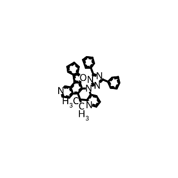 CC1(C)c2ncccc2N(c2nc(-c3ccccc3)nc(-c3ccccc3)n2)c2c1c1ccncc1c1c2oc2ccccc21